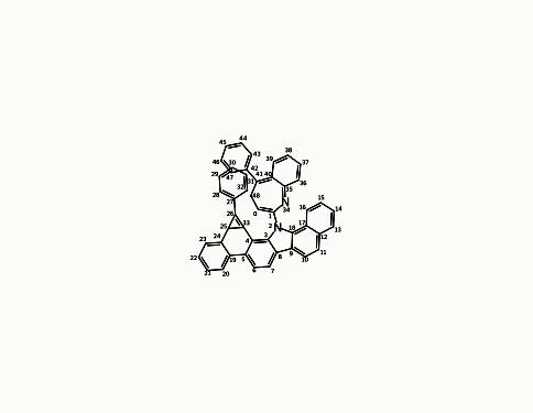 C1=C(n2c3c4c(ccc3c3ccc5ccccc5c32)-c2ccccc2C2C(c3ccccc3)=C42)N=c2ccccc2=C(c2ccccc2)C1